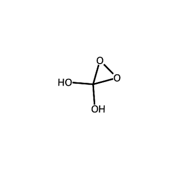 OC1(O)OO1